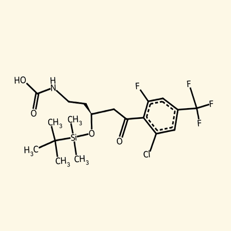 CC(C)(C)[Si](C)(C)O[C@@H](CCNC(=O)O)CC(=O)c1c(F)cc(C(F)(F)F)cc1Cl